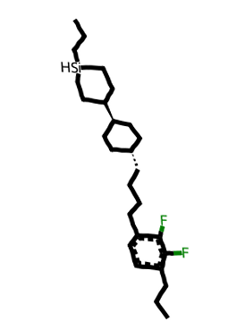 CCCc1ccc(CCCC[C@H]2CC[C@H](C3CC[SiH](CCC)CC3)CC2)c(F)c1F